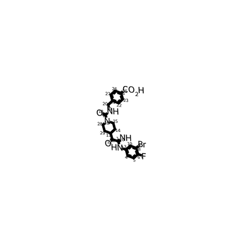 N=C(Nc1ccc(F)c(Br)c1)C(=O)C1CCN(C(=O)NCc2ccc(C(=O)O)cc2)CC1